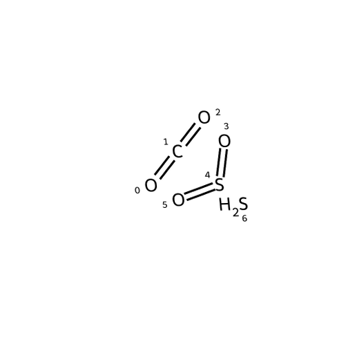 O=C=O.O=S=O.S